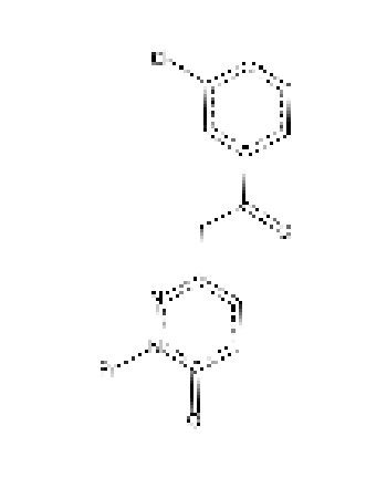 CC(C)n1nc(CC(=O)c2cccc(Cl)c2)ccc1=O